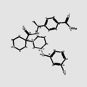 COC(=O)c1ccc([C@H](C)NC(=O)C2(N3CCC[C@H](Oc4cccc(Cl)c4)C3)CCOCC2)cc1